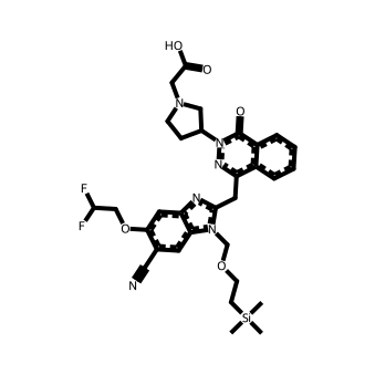 C[Si](C)(C)CCOCn1c(Cc2nn(C3CCN(CC(=O)O)C3)c(=O)c3ccccc23)nc2cc(OCC(F)F)c(C#N)cc21